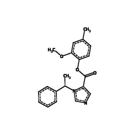 COc1cc(C)ccc1OC(=O)c1cncn1C(C)c1ccccc1